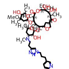 CC[C@H]1OC(=O)[C@H](C)[C@@H](O[C@H]2C[C@@](C)(OC)[C@@H](O)[C@H](C)O2)[C@H](C)[C@@H](O[C@@H]2O[C@H](C)C[C@H](N(C)CCc3cn(CCCc4cccnc4)nn3)[C@H]2O)[C@@]2(C)C[C@@H](CO2)C(=O)[C@H](C)[C@@H](O)[C@]1(C)O